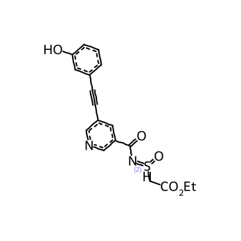 CCOC(=O)C/[SH](=O)=N/C(=O)c1cncc(C#Cc2cccc(O)c2)c1